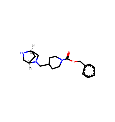 O=C(OCc1ccccc1)N1CCC(CN2C[C@H]3C[C@@H]2CN3)CC1